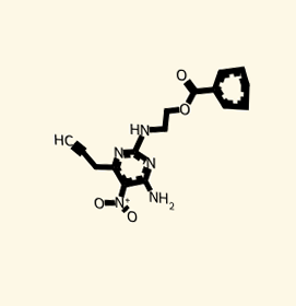 C#CCc1nc(NCCOC(=O)c2ccccc2)nc(N)c1[N+](=O)[O-]